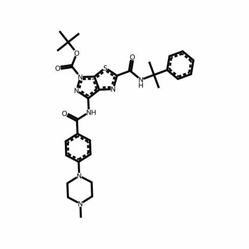 CN1CCN(c2ccc(C(=O)Nc3nn(C(=O)OC(C)(C)C)c4sc(C(=O)NC(C)(C)c5ccccc5)nc34)cc2)CC1